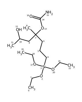 CCO[Si](CCCC(C)(CC(C)O)OC(N)=O)(OCC)OCC